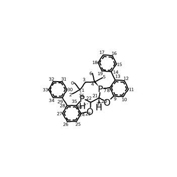 CC1(C)CC(C)(C)[P@@]2c3c(cccc3-c3ccccc3)O[C@@H]2[C@H]2Oc3cccc(-c4ccccc4)c3[P@@]21